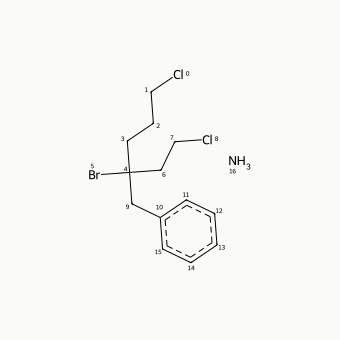 ClCCCC(Br)(CCCl)Cc1ccccc1.N